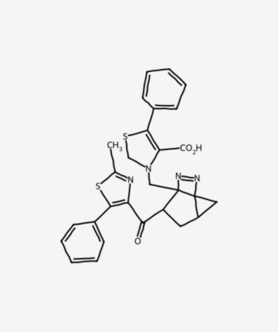 Cc1nc(C(=O)C2CC3CC34N=NC24CN2CSC(c3ccccc3)=C2C(=O)O)c(-c2ccccc2)s1